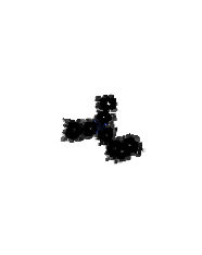 C1=CCC(c2ccc(N(C3=CCC(c4ccc5ccc6ccccc6c5c4)C=C3)c3ccc(-c4ccccc4)cc3)cc2)C=C1